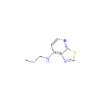 CCCNc1ccnc2s[c]nc12